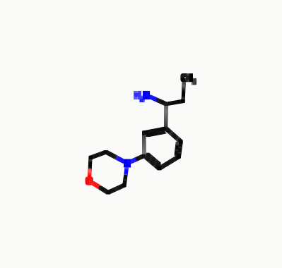 CCC(N)c1cccc(N2CCOCC2)c1